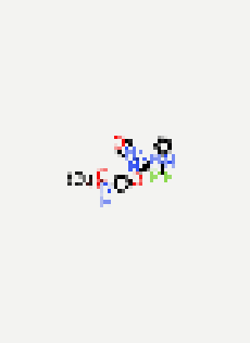 CC(C)(C)OC(=O)N[C@H]1CC[C@H](Oc2cc(-n3c(C(F)F)nc4ccccc43)nc(N3CCOCC3)n2)CC1